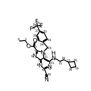 CCOC(=O)c1nc2nc(C#N)nc(NCCC3CCC3)c2n1Cc1ccc(C(F)(F)F)cc1